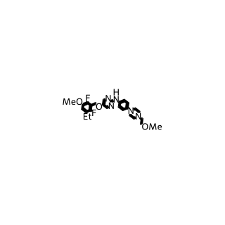 CCc1cc(OC)c(F)c(COc2cnc(Nc3ccc(N4CCN(CCOC)CC4)cc3)nc2)c1F